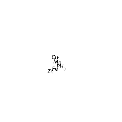 P.[Cu].[Fe].[Mn].[Zn]